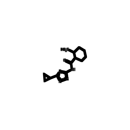 O=C(O)C1CCCCC1C(=O)Nc1nnc(C2CC2)s1